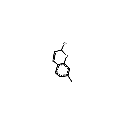 Cc1ccc2c(c1)OC(O)C=N2